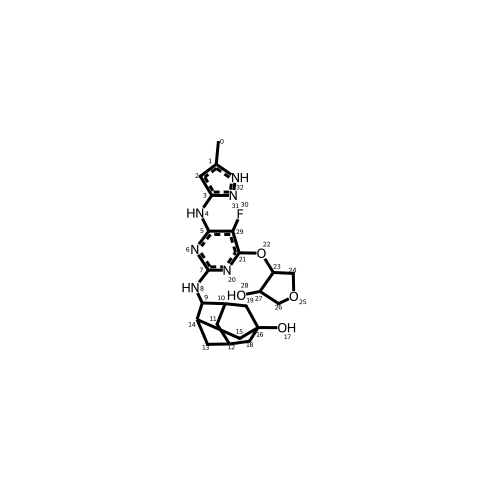 Cc1cc(Nc2nc(NC3C4CC5CC3CC(O)(C5)C4)nc(OC3COCC3O)c2F)n[nH]1